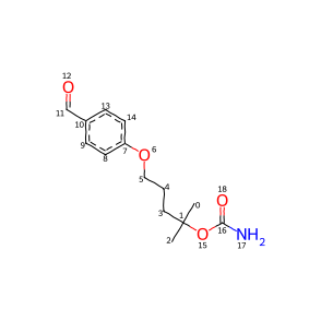 CC(C)(CCCOc1ccc(C=O)cc1)OC(N)=O